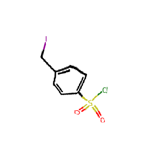 O=S(=O)(Cl)c1ccc(CI)cc1